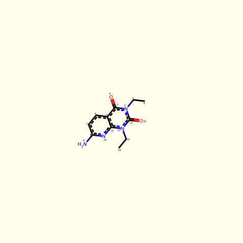 CCn1c(=O)c2ccc(N)nc2n(CC)c1=O